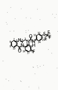 O=C(NCc1nc2ccccc2c(=O)n1-c1ccc(F)cc1)Nc1ccc(SC(F)(F)F)cc1